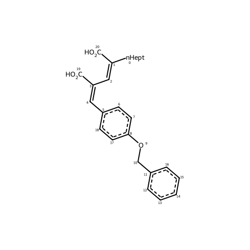 CCCCCCCC(=CC(=Cc1ccc(OCc2ccccc2)cc1)C(=O)O)C(=O)O